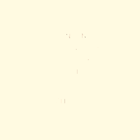 Cc1cccc(C2(C(F)(F)F)N=N2)c1